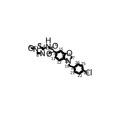 O=S(=O)(Nc1nc[n+]([O-])s1)c1ccc2c(c1)OCN2Cc1ccc(Cl)cc1